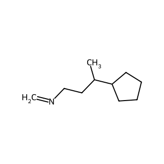 C=NCCC(C)C1CCCC1